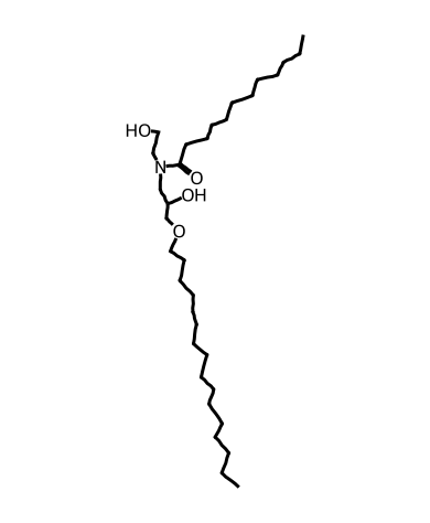 CCCCCCCCCCCCCCCCOCC(O)CN(CCO)C(=O)CCCCCCCCCCC